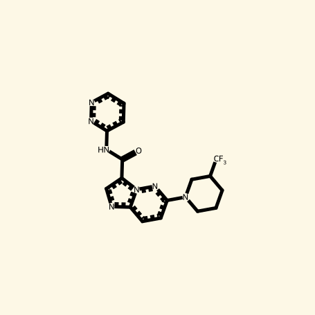 O=C(Nc1cccnn1)c1cnc2ccc(N3CCCC(C(F)(F)F)C3)nn12